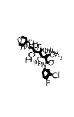 CC(C)=C(C(=O)Nc1ccc(F)c(Cl)c1)/C(C)=C(/C(=O)C(=O)NC1(C)CCOCC1)C(C)C